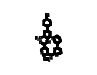 CCN1CCN(c2ccc(NC(=O)c3cnc(C)c(Nc4nccc(-c5cccnc5)n4)c3)c(C(F)(F)F)c2)CC1